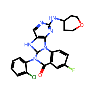 O=C1c2cc(F)ccc2N2c3nc(NC4CCOCC4)ncc3NC2N1c1ccccc1Cl